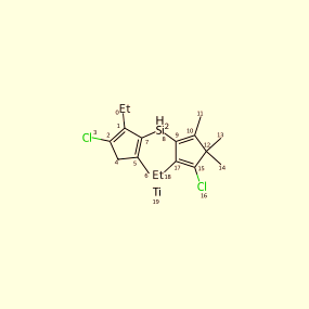 CCC1=C(Cl)CC(C)=C1[SiH2]C1=C(C)C(C)(C)C(Cl)=C1CC.[Ti]